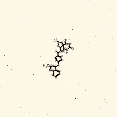 CC(=O)N1CC(NC(=O)c2ccc(Cc3cc(C)nc4ccccc34)cc2)C2(C1)C(=O)NC(=O)NC2=O